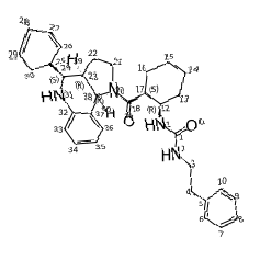 O=C(NCCc1ccccc1)N[C@@H]1CCCC[C@@H]1C(=O)N1CC[C@@H]2[C@H](C3C=CC=CC3)Nc3ccccc3[C@@H]21